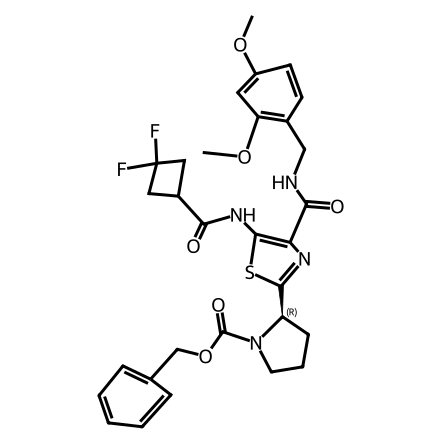 COc1ccc(CNC(=O)c2nc([C@H]3CCCN3C(=O)OCc3ccccc3)sc2NC(=O)C2CC(F)(F)C2)c(OC)c1